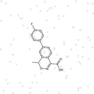 CC1ON=C(C(=O)O)c2ccc(-c3ccc(F)cc3)cc21